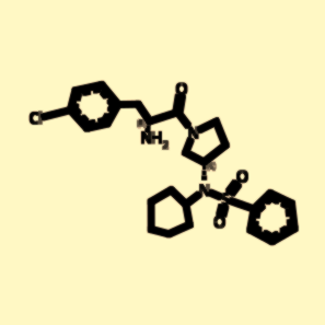 N[C@H](Cc1ccc(Cl)cc1)C(=O)N1CC[C@H](N(C2CCCCC2)S(=O)(=O)c2ccccc2)C1